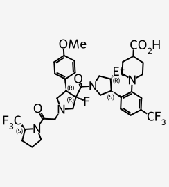 CC[C@H]1CN(C(=O)[C@]2(F)CN(CC(=O)N3CCC[C@H]3C(F)(F)F)C[C@H]2c2ccc(OC)cc2)C[C@@H]1c1ccc(C(F)(F)F)cc1N1CCC(C(=O)O)CC1